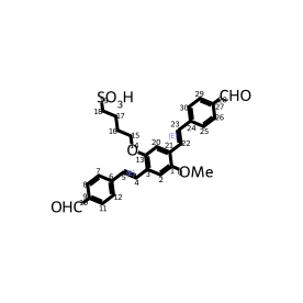 COc1cc(/C=C/c2ccc(C=O)cc2)c(OCCCCS(=O)(=O)O)cc1/C=C/c1ccc(C=O)cc1